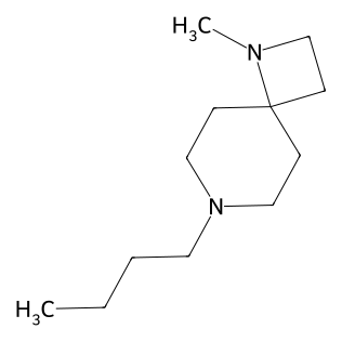 CCCCN1CCC2(CC1)CCN2C